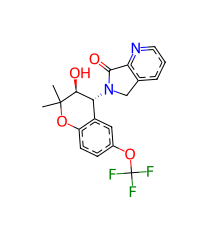 CC1(C)Oc2ccc(OC(F)(F)F)cc2[C@@H](N2Cc3cccnc3C2=O)[C@@H]1O